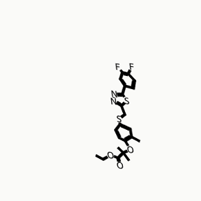 CCOC(=O)C(C)(C)Oc1ccc(SCc2nnc(-c3ccc(F)c(F)c3)s2)cc1C